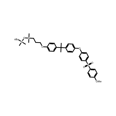 CCCC[Si](C)(C)O[Si](C)(C)CCCOc1ccc(C(C)(C)c2ccc(Oc3ccc(S(=O)(=O)c4ccc(OC)cc4)cc3)cc2)cc1